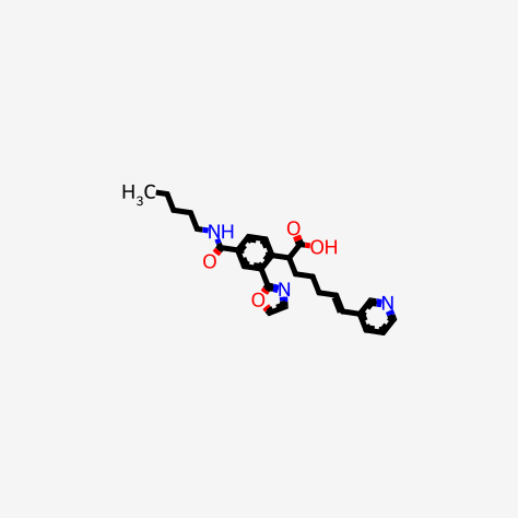 CCCCCNC(=O)c1ccc(C(CCCC=Cc2cccnc2)C(=O)O)c(-c2ncco2)c1